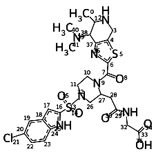 CC1NCc2sc(C(=O)N3CCN(S(=O)(=O)c4cc5cc(Cl)ccc5[nH]4)CC3CC(=O)NCC(=O)O)nc2C1N(C)C